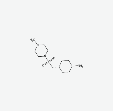 CN1CCN(S(=O)(=O)CC2CCC(N)CC2)CC1